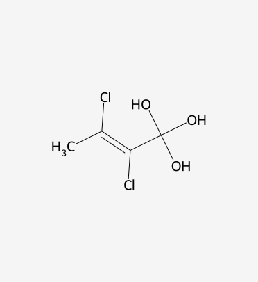 CC(Cl)=C(Cl)C(O)(O)O